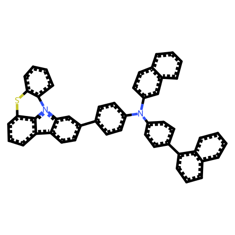 c1ccc2c(c1)Sc1cccc3c4ccc(-c5ccc(N(c6ccc(-c7cccc8ccccc78)cc6)c6ccc7ccccc7c6)cc5)cc4n-2c13